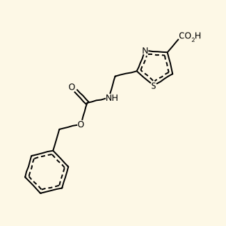 O=C(NCc1nc(C(=O)O)cs1)OCc1ccccc1